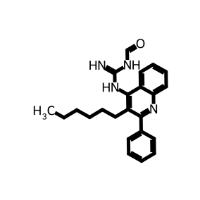 CCCCCCc1c(-c2ccccc2)nc2ccccc2c1NC(=N)NC=O